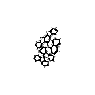 c1ccc2c(c1)-c1ccccc1C21c2ccccc2-c2c(N(c3cccc4ccccc34)c3cc4c5ccccc5oc4c4oc5ccccc5c34)cccc21